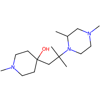 CC1CN(C)CCN1C(C)(C)CC1(O)CCN(C)CC1